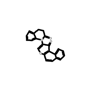 O=C1CCc2ccccc2[O+]1c1coc2ccc3ccccc3c2c1=O